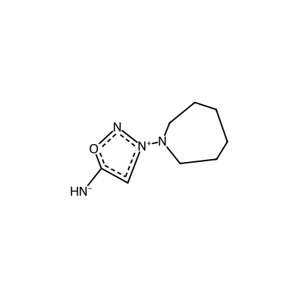 [NH-]c1c[n+](N2CCCCCC2)no1